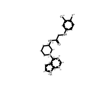 O=C(CNc1ccc(F)c(Cl)c1)NC1CCCN(c2ncnc3[nH]ccc23)C1